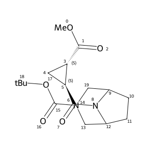 COC(=O)[C@H]1C[C@@H]1C(=O)N1C2CCC1CN(C(=O)OC(C)(C)C)C2